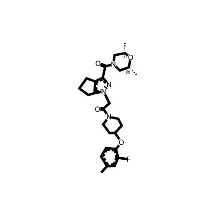 Cc1ccc(OC2CCN(C(=O)Cn3nc(C(=O)N4C[C@@H](C)O[C@@H](C)C4)c4c3CCC4)CC2)c(F)c1